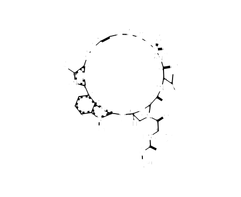 CC[C@@H]1C[C@@]12NC(=O)[C@@H]1C[C@H](CN1C(=O)[C@@H](NC(=O)OC(C)(C)C)C(C)(C)C)Oc1nc3c(cccc3n1C(C)C)-c1nc(C(C)C)c(s1)CC/C=C\CCCCS(=O)(=O)NC2=O